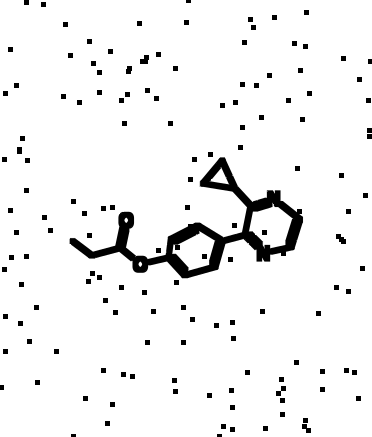 CCC(=O)Oc1ccc(-c2nccnc2C2CC2)cc1